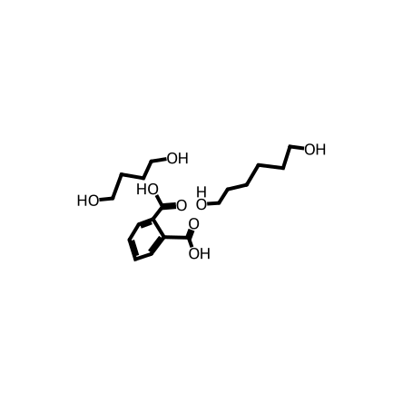 O=C(O)c1ccccc1C(=O)O.OCCCCCCO.OCCCCO